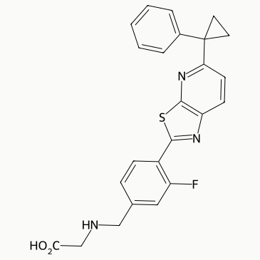 O=C(O)CNCc1ccc(-c2nc3ccc(C4(c5ccccc5)CC4)nc3s2)c(F)c1